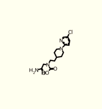 NC(=O)CN(CCC1CCN(c2ccc(Cl)cn2)CC1)C(=O)O